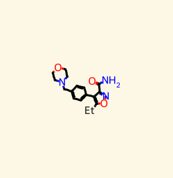 CCc1onc(C(N)=O)c1-c1ccc(CN2CCOCC2)cc1